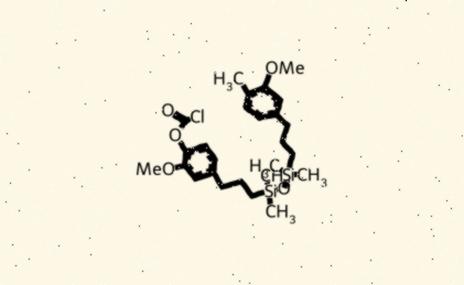 COc1cc(CCC[Si](C)(C)O[Si](C)(C)CCCc2ccc(OC(=O)Cl)c(OC)c2)ccc1C